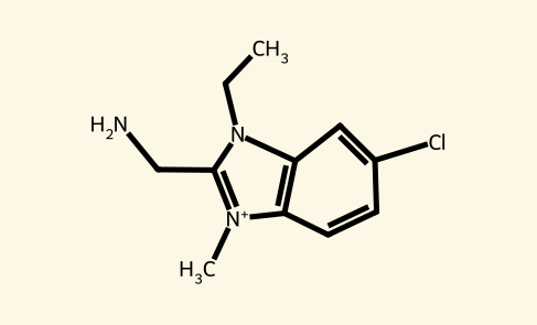 CCn1c(CN)[n+](C)c2ccc(Cl)cc21